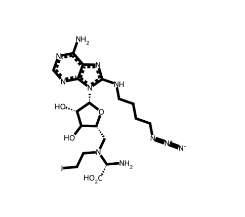 [N-]=[N+]=NCCCCNc1nc2c(N)ncnc2n1[C@@H]1O[C@H](CN(CCI)[C@H](N)C(=O)O)C(O)[C@@H]1O